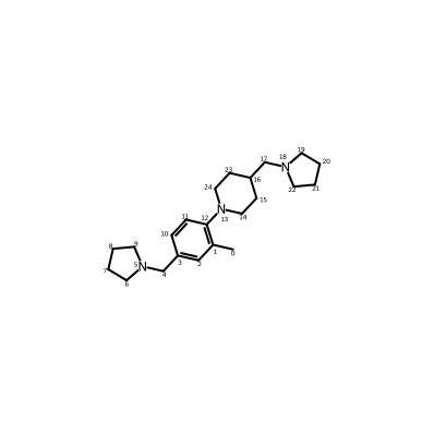 Cc1cc(CN2CCCC2)ccc1N1CCC(CN2CCCC2)CC1